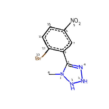 CN1NNN=C1c1cc([N+](=O)[O-])ccc1Br